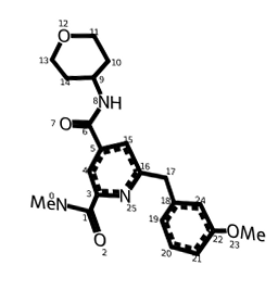 CNC(=O)c1cc(C(=O)NC2CCOCC2)cc(Cc2cccc(OC)c2)n1